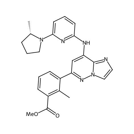 COC(=O)c1cccc(-c2cc(Nc3cccc(N4CCC[C@@H]4C)n3)c3nccn3n2)c1C